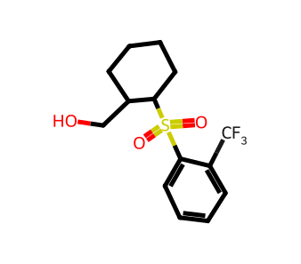 O=S(=O)(c1ccccc1C(F)(F)F)C1CCCCC1CO